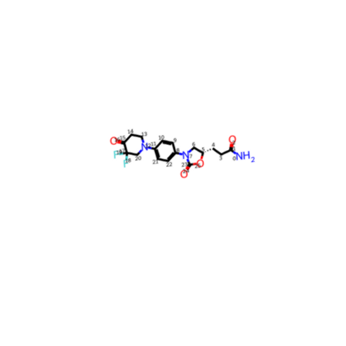 NC(=O)CC[C@H]1CN(c2ccc(N3CCC(=O)C(F)(F)C3)cc2)C(=O)O1